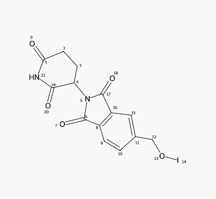 O=C1CCC(N2C(=O)c3ccc(COI)cc3C2=O)C(=O)N1